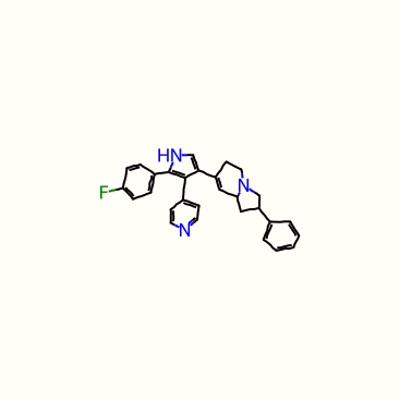 Fc1ccc(-c2[nH]cc(C3=CC4CC(c5ccccc5)CN4CC3)c2-c2ccncc2)cc1